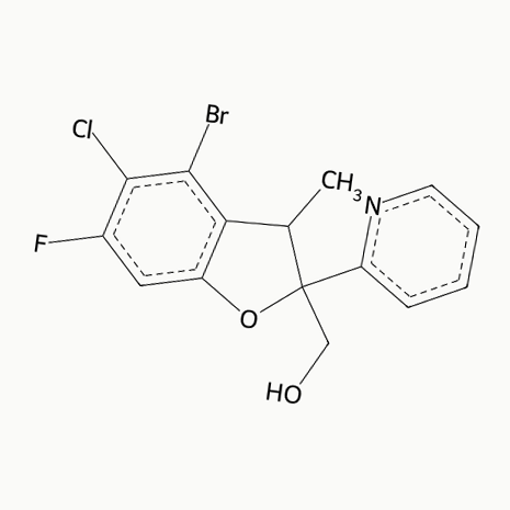 CC1c2c(cc(F)c(Cl)c2Br)OC1(CO)c1ccccn1